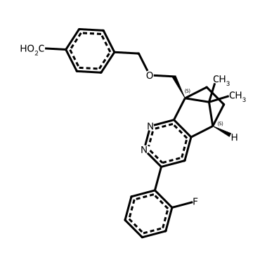 CC1(C)[C@@H]2CC[C@@]1(COCc1ccc(C(=O)O)cc1)c1nnc(-c3ccccc3F)cc12